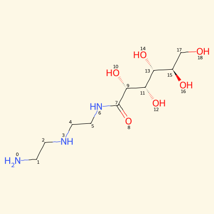 NCCNCCNC(=O)[C@H](O)[C@@H](O)[C@H](O)[C@H](O)CO